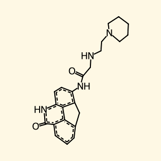 O=C(CNCCN1CCCCC1)Nc1ccc2[nH]c(=O)c3cccc4c3c2c1C4